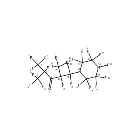 O=C(C(F)(C(F)(F)F)C(F)(F)F)C(F)(C(F)(F)F)C(F)(F)N1C(F)(F)C(F)(F)N(F)C(F)(F)C1(F)F